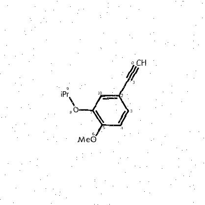 C#Cc1ccc(OC)c(OC(C)C)c1